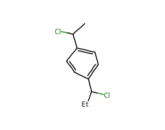 CC[C](Cl)c1ccc(C(C)Cl)cc1